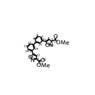 COC(=O)c1cc(-c2cccc(-c3cccc(-c4cc(C(=O)OC)no4)c3)c2)on1